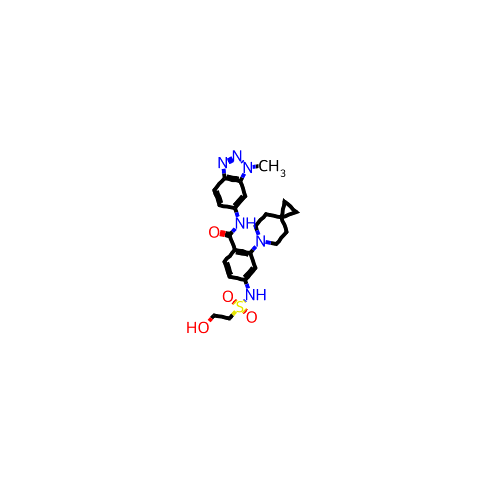 Cn1nnc2ccc(NC(=O)c3ccc(NS(=O)(=O)CCO)cc3N3CCC4(CC3)CC4)cc21